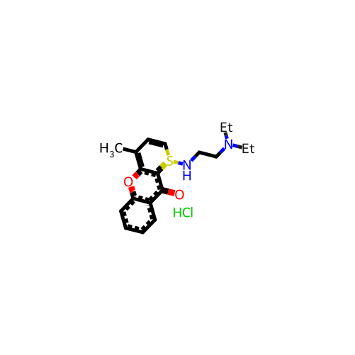 CCN(CC)CCNS1=c2c(oc3ccccc3c2=O)=C(C)C=C1.Cl